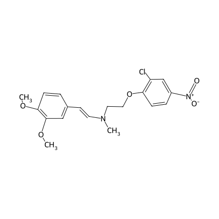 COc1ccc(C=CN(C)CCOc2ccc([N+](=O)[O-])cc2Cl)cc1OC